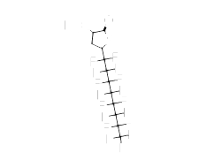 CC1CC(C(F)(F)C(F)(F)C(F)(F)C(F)(F)C(F)(F)C(F)(F)C(F)(F)C(F)(F)F)SC1=O